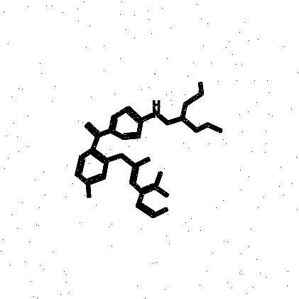 C=C(c1ccc(NCC(CCC)CCC)cc1)c1ccc(C)cc1C/C(C)=C/C(/C=C\C)=C(C)C